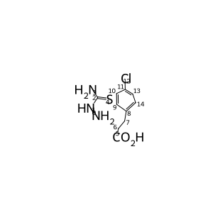 NNC(N)=S.O=C(O)CCc1ccc(Cl)cc1